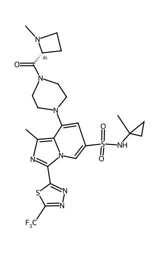 Cc1nc(-c2nnc(C(F)(F)F)s2)n2cc(S(=O)(=O)NC3(C)CC3)cc(N3CCN(C(=O)[C@H]4CCN4C)CC3)c12